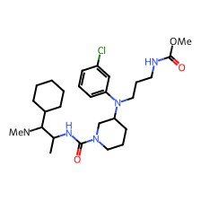 CNC(C1CCCCC1)C(C)NC(=O)N1CCCC(N(CCCNC(=O)OC)c2cccc(Cl)c2)C1